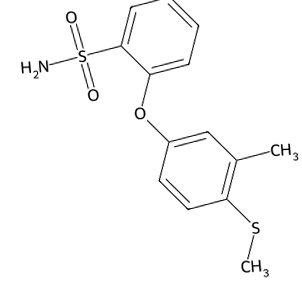 CSc1ccc(Oc2ccccc2S(N)(=O)=O)cc1C